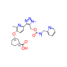 Cc1nc(-c2nnn(C)c2COC(=O)N(C)Cc2ccccn2)ccc1O[C@H]1CCC[C@H](C(=O)O)C1